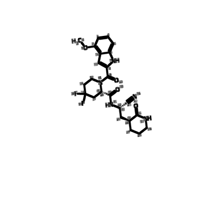 COc1cccc2[nH]c(C(=O)N3CCC(F)(F)C[C@H]3C(=O)N[C@H](C#N)C[C@@H]3CCCNC3=O)cc12